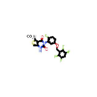 O=C(O)c1scc2[nH]c(=O)n(-c3cc(OCc4c(F)c(F)cc(F)c4F)ccc3F)c(=O)c12